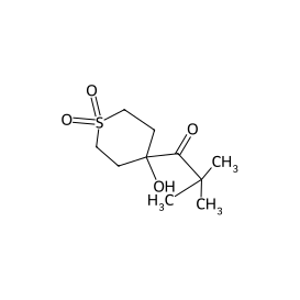 CC(C)(C)C(=O)C1(O)CCS(=O)(=O)CC1